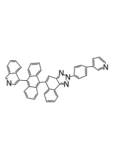 c1cncc(-c2ccc(-n3nc4cc(-c5c6ccccc6c(-c6cncc7ccccc67)c6ccccc56)c5ccccc5c4n3)cc2)c1